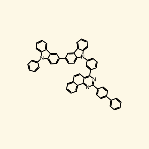 c1ccc(-c2ccc(-c3nc(-c4cccc(-n5c6ccccc6c6cc(-c7ccc8c(c7)c7ccccc7n8-c7ccccc7)ccc65)c4)c4ccc5ccccc5c4n3)cc2)cc1